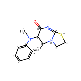 COC1C(N(C)c2ccccc2)C(=O)N=C2SCCN21